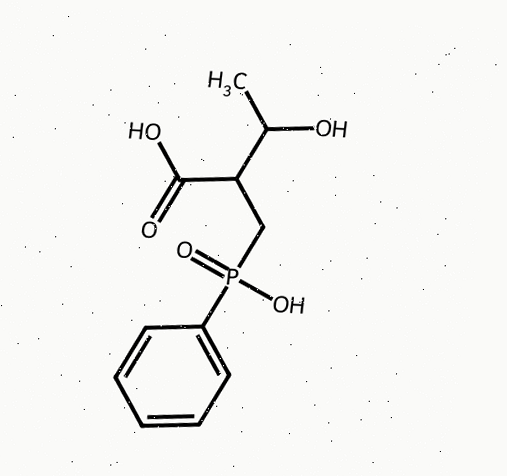 CC(O)C(CP(=O)(O)c1ccccc1)C(=O)O